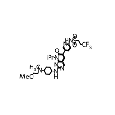 COCCN(C)[C@H]1CC[C@H](Nc2ncc3cc(-c4ccc(NS(=O)(=O)CCC(F)(F)F)nc4)c(=O)n(C(C)C)c3n2)CC1